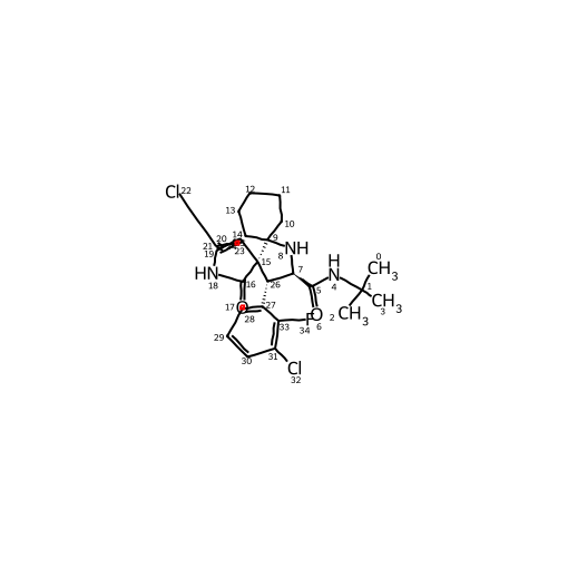 CC(C)(C)NC(=O)[C@@H]1NC2(CCCCC2)[C@@]2(C(=O)Nc3cc(Cl)ccc32)[C@H]1c1cccc(Cl)c1F